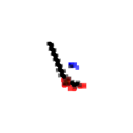 CCCCCCCCCCCCCCOS(=O)(=O)OCC(O)CO.N